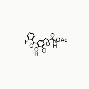 CC(=O)ONC(=O)C1Cc2cc(C(=O)c3ccccc3F)c(O)c(Cl)c2O1